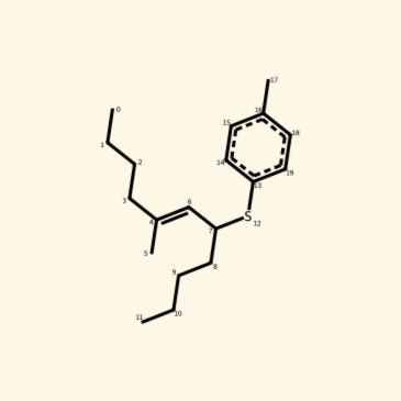 CCCC/C(C)=C/C(CCCC)Sc1ccc(C)cc1